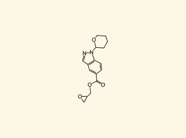 O=C(OCC1CO1)c1ccc2c(cnn2C2CCCCO2)c1